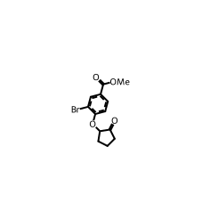 COC(=O)c1ccc(OC2CCCC2=O)c(Br)c1